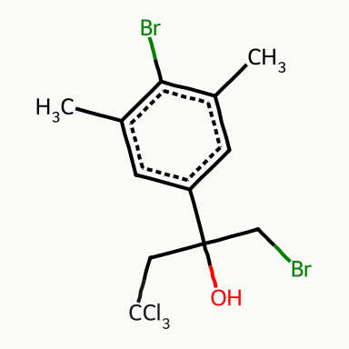 Cc1cc(C(O)(CBr)CC(Cl)(Cl)Cl)cc(C)c1Br